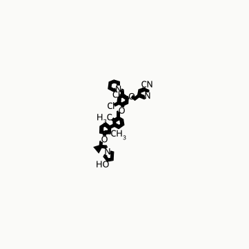 Cc1c(COc2cc(OCc3cncc(C#N)c3)c(CN3CCCC[C@H]3C)cc2Cl)cccc1-c1cccc(OCC2(CN3CC[C@@H](O)C3)CC2)c1C